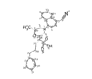 C[C@@H]1CN(c2ccc(C#N)c3ncccc23)C[C@H]([C@@H](CCCc2ccccc2)S(=O)(=O)O)O1